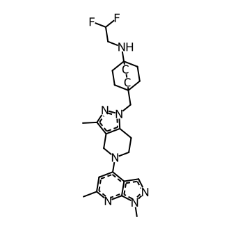 Cc1cc(N2CCc3c(c(C)nn3CC34CCC(NCC(F)F)(CC3)CC4)C2)c2cnn(C)c2n1